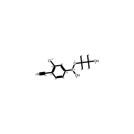 CC(C)(O)C(C)(C)OB(O)c1ccc(C#N)c(Cl)c1